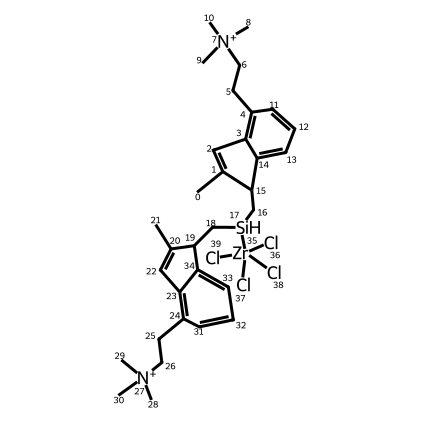 CC1=Cc2c(CC[N+](C)(C)C)cccc2C1C[SiH](CC1C(C)=Cc2c(CC[N+](C)(C)C)cccc21)[Zr]([Cl])([Cl])([Cl])[Cl]